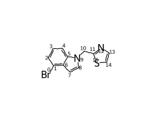 Brc1cccc2c1ccn2Cc1nccs1